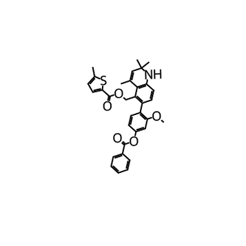 COc1cc(OC(=O)c2ccccc2)ccc1-c1ccc2c(c1COC(=O)c1ccc(C)s1)C(C)=CC(C)(C)N2